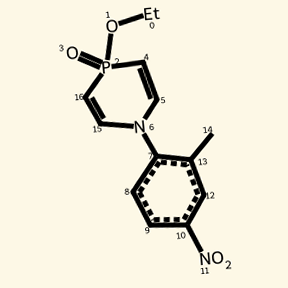 CCOP1(=O)C=CN(c2ccc([N+](=O)[O-])cc2C)C=C1